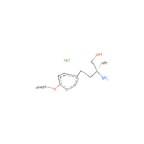 CCCCCCCOc1ccc(CC[C@](N)(CO)CCC)cc1.Cl